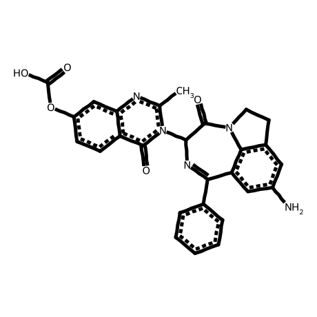 Cc1nc2cc(OC(=O)O)ccc2c(=O)n1C1N=C(c2ccccc2)c2cc(N)cc3c2N(CC3)C1=O